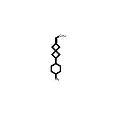 CCCC1CCC(C2CC3(CC(=COC)C3)C2)CC1